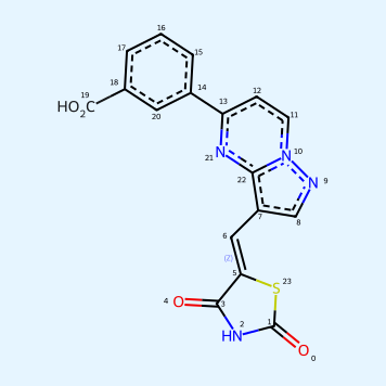 O=C1NC(=O)/C(=C/c2cnn3ccc(-c4cccc(C(=O)O)c4)nc23)S1